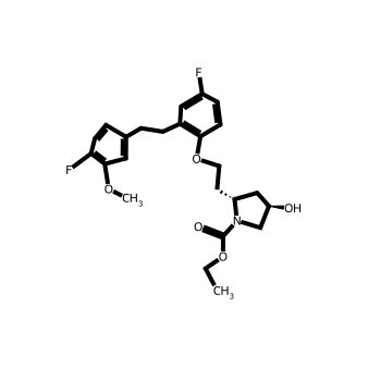 CCOC(=O)N1C[C@H](O)C[C@H]1CCOc1ccc(F)cc1CCc1ccc(F)c(OC)c1